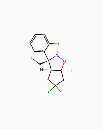 FC[C@@]1(c2ccccc2F)NO[C@H]2CC(F)(F)C[C@H]21